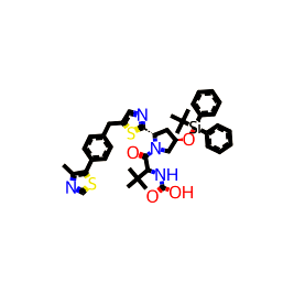 Cc1ncsc1-c1ccc(Cc2cnc([C@@H]3C[C@@H](O[Si](c4ccccc4)(c4ccccc4)C(C)(C)C)CN3C(=O)C(NC(=O)O)C(C)(C)C)s2)cc1